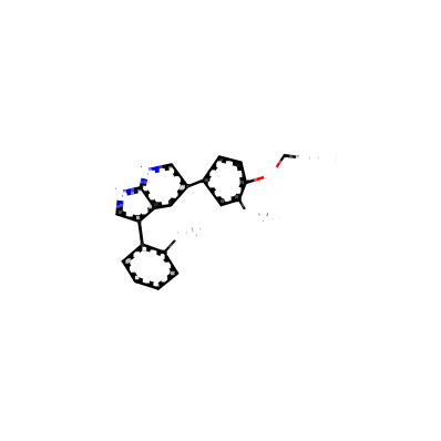 COc1cc(-c2cnc3[nH]cc(-c4ccccc4OC)c3c2)ccc1OCC(=O)O